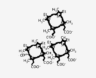 CCC1=C(C)c2cc3[nH]c(cc4nc(cc5[nH]c(cc1n2)c(C)c5CCC(=O)[O-])C(CCC(=O)[O-])=C4C)c(C)c3CC.CCC1=C(C)c2cc3[nH]c(cc4nc(cc5[nH]c(cc1n2)c(C)c5CCC(=O)[O-])C(CCC(=O)[O-])=C4C)c(C)c3CC.CCC1=C(C)c2cc3[nH]c(cc4nc(cc5[nH]c(cc1n2)c(C)c5CCC(=O)[O-])C(CCC(=O)[O-])=C4C)c(C)c3CC.[Cr+3].[Cr+3]